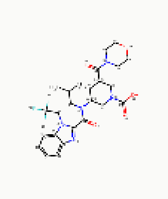 CC(C)CN(C(=O)c1nc2ccccc2n1CC(F)(F)F)[C@H]1C[C@@H](C(=O)N2CCOCC2)CN(C(=O)O)C1